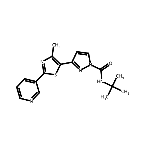 Cc1nc(-c2cccnc2)sc1-c1ccn(C(=O)NC(C)(C)C)n1